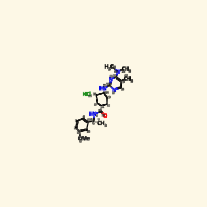 COc1cccc([C@@H](C)NC(=O)[C@H]2CC[C@@H](Nc3ncc(C)c(N(C)C)n3)CC2)c1.Cl